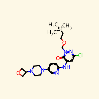 C[Si](C)(C)CCOCn1nc(Cl)cc(Nc2ccc(N3CCN(C4COC4)CC3)cn2)c1=O